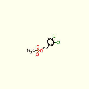 CS(=O)(=O)OCCc1ccc(Cl)c(Cl)c1